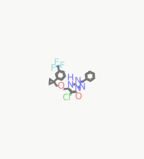 O=c1c(Cl)c(COCC2(c3cccc(C(F)(F)F)c3)CC2)[nH]c2nc(-c3ccccc3)nn12